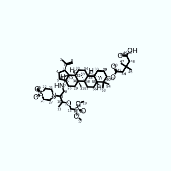 C=C(C)[C@@H]1CC[C@]2(NCC(C(C)OCP(=O)(OC)OC)N3CCS(=O)(=O)CC3)CC[C@]3(C)[C@H](CC[C@@H]4[C@@]5(C)CC[C@H](OC(=O)CC(C)(C)CC(=O)O)C(C)(C)[C@@H]5CC[C@]43C)[C@@H]12